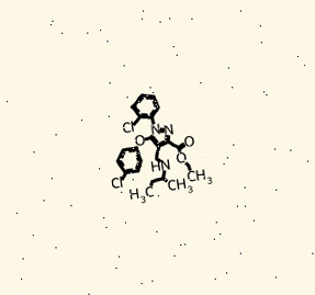 CCOC(=O)c1nn(-c2ccccc2Cl)c(Oc2ccc(Cl)cc2)c1CNC(C)CC